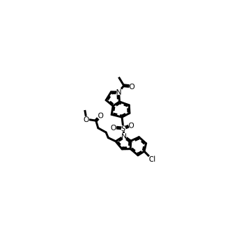 COC(=O)CCCc1cc2cc(Cl)ccc2n1S(=O)(=O)c1ccc2c(ccn2C(C)=O)c1